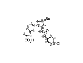 C=C(Cc1cccc(-n2nc(C(C)(C)C)cc2NC(=O)Nc2ccc(Cl)cc2)c1)C(=O)O